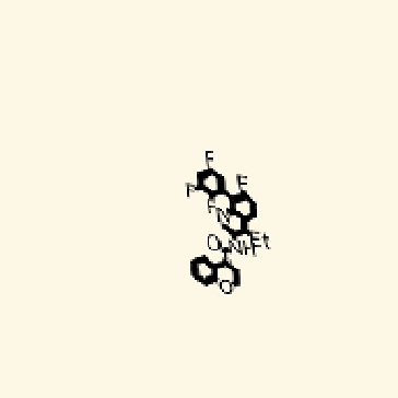 CCc1c(NC(=O)[C@H]2CCOc3ccccc32)cnc2c(-c3cc(F)cc(F)c3F)c(F)ccc12